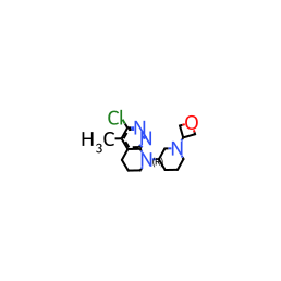 Cc1c(Cl)nnc2c1CCCN2[C@@H]1CCCN(C2COC2)C1